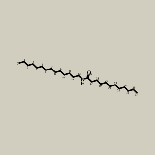 CCCCCCCCCCCCCCNC(=O)CCCCCCCCCCC